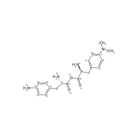 CN(C)c1ccc(C[C@H](N)C(=O)OC(=O)[C@@H](N)Cc2ccc(N)cc2)cc1